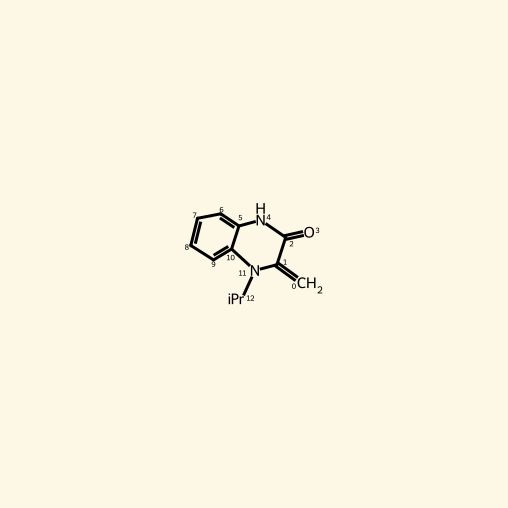 C=C1C(=O)Nc2ccccc2N1C(C)C